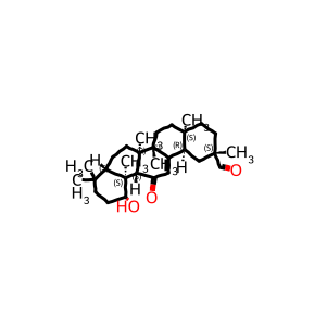 CC1(C)CCC(O)[C@]2(C)[C@H]3C(=O)C=C4[C@@H]5C[C@@](C)(C=O)CC[C@]5(C)CC[C@@]4(C)[C@]3(C)CC[C@@H]12